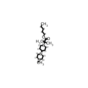 CCCCCOC(=O)C(C)(C)N1CCC(N2CCN(C)CC2)CC1